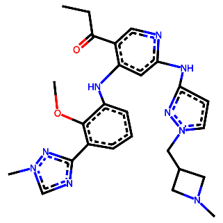 CCC(=O)c1cnc(Nc2ccn(CC3CN(C)C3)n2)cc1Nc1cccc(-c2ncn(C)n2)c1OC